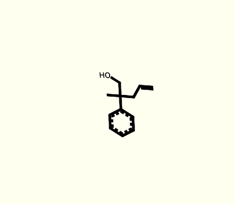 C=CCC(C)(CO)c1ccccc1